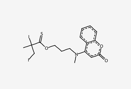 CN(CCCOC(=S)C(C)(I)CI)c1cc(=O)oc2ccccc12